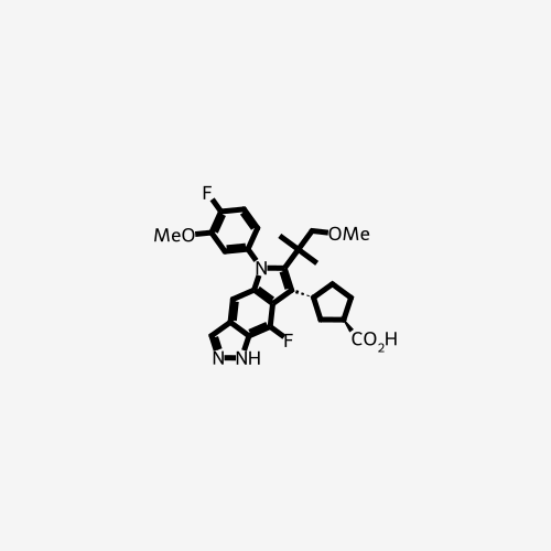 COCC(C)(C)c1c([C@@H]2CC[C@@H](C(=O)O)C2)c2c(F)c3[nH]ncc3cc2n1-c1ccc(F)c(OC)c1